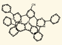 N#Cc1cc(-c2cc(-c3ccccc3)nc(-c3ccccc3)n2)c(-n2c3ccccc3c3ccc(-c4ccccc4)cc32)c(-c2cc(-c3ccccc3)nc(-c3ccccc3)n2)c1